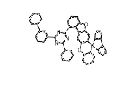 c1ccc(-c2cccc(-c3nc(-c4ccccc4)nc(-c4cccc5oc6cc7c(cc6c45)Oc4ccccc4C74c5ccccc5-c5ccccc54)n3)c2)cc1